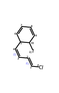 Cl/C=C/C=C\C1C=CC=CC1I